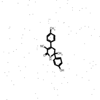 Cc1ccc(C2=C(C#N)C(=O)NC(C)(c3ccc(O)cc3)C2)cc1